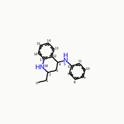 CCC1CC(Nc2ccccc2)c2ccccc2N1